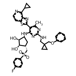 Cc1nc(NCC2(COc3ccccc3)CC2)nc(N[C@@H]2C[C@H](CS(=O)(=O)c3ccc(F)cc3)[C@@H](O)[C@H]2O)c1-c1nc2c(C3CC3)nccc2s1